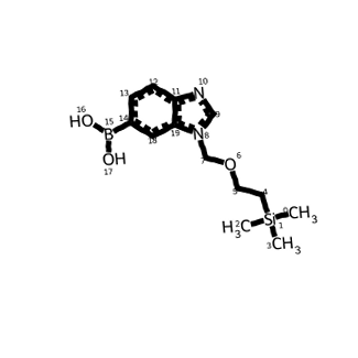 C[Si](C)(C)CCOCn1cnc2ccc(B(O)O)cc21